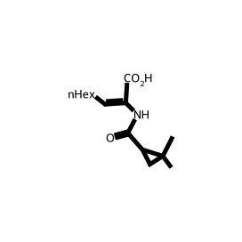 CCCCCCC=C(NC(=O)C1CC1(C)C)C(=O)O